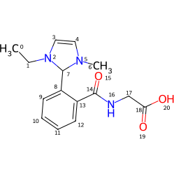 CCN1C=CN(C)C1c1ccccc1C(=O)NCC(=O)O